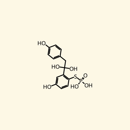 O=P(O)(O)Sc1ccc(O)cc1C(O)(O)Cc1ccc(O)cc1